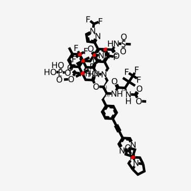 COC(=O)N[C@H](C(=O)N[C@@H](Cc1ccc(C#Cc2cnc(N3CC4CCC(C3)N4C3COC3)nc2)cc1)[C@H](CN(Cc1c(F)cc(-c2ccn(C(F)F)n2)cc1F)NC(=O)[C@@H](NC(=O)OC)C(C)(C)C(F)(F)F)OC(=O)CC(C)(C)c1c(CC(=O)NCC(=O)NS(C)(=O)=O)cc(C)cc1OP(=O)(O)O)C(C)(C)C(F)(F)F